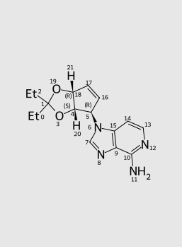 CCC1(CC)O[C@H]2[C@H](n3cnc4c(N)nccc43)C=C[C@H]2O1